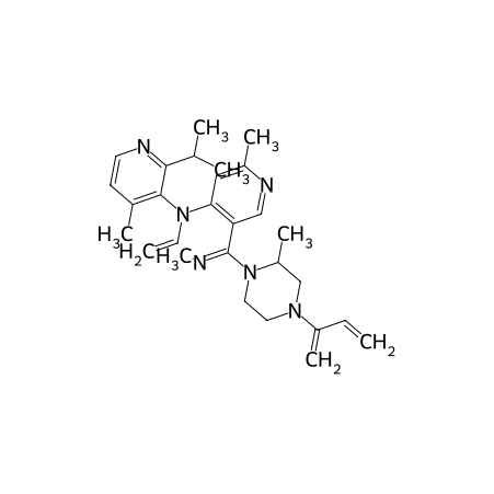 C=CC(=C)N1CCN(/C(=N/C)c2cnc(C)cc2N(C=C)c2c(C)ccnc2C(C)C)C(C)C1